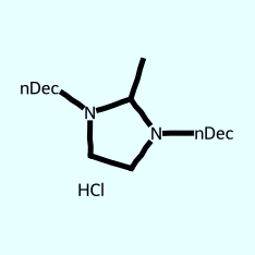 CCCCCCCCCCN1CCN(CCCCCCCCCC)C1C.Cl